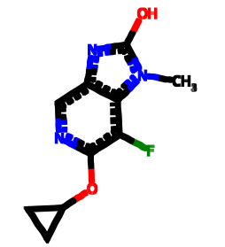 Cn1c(O)nc2cnc(OC3CC3)c(F)c21